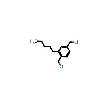 CCCCCc1cc(CCl)ccc1CCl